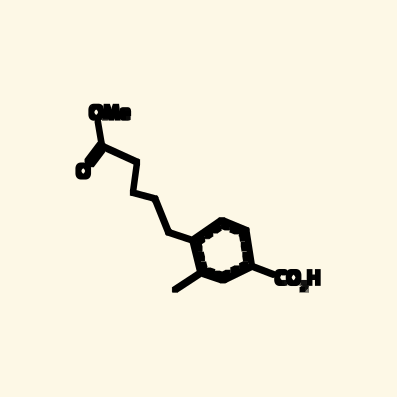 COC(=O)CCCCc1ccc(C(=O)O)cc1C